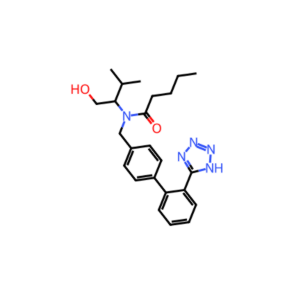 CCCCC(=O)N(Cc1ccc(-c2ccccc2-c2nnn[nH]2)cc1)C(CO)C(C)C